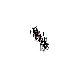 CCNC(=O)N1C2CC[C@H]1CN(c1ccnc(Nc3cnc(C(=O)NC)c(C)c3)n1)C2